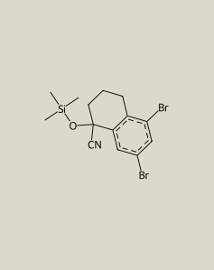 C[Si](C)(C)OC1(C#N)CCCc2c(Br)cc(Br)cc21